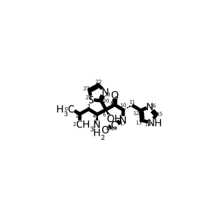 CC(C)C[C@H](N)[C@@](O)(C(=O)[C@H](Cc1c[nH]cn1)N=C=O)c1nccs1